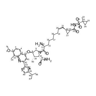 COc1ccc2c(O[C@H]3CN(C(=O)[C@@H](N)CCCCC/C=C\[C@@H]4C[C@@H]4C(=O)NS(=O)(=O)C4(C)CC4)[C@H](C(N)=O)[C@@H]3C)cc(-c3nc(C(C)C)cs3)nc2c1C